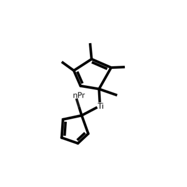 CCC[C]1([Ti][C]2(C)C=C(C)C(C)=C2C)C=CC=C1